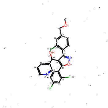 COCc1ccc(-c2noc(-c3ccc(F)cc3F)c2C(O)c2cccnc2)c(F)c1